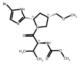 COC[C@H]1C[C@@H](c2ncc(Br)[nH]2)N(C(=O)[C@@H](NC(=O)OC)C(C)C)C1